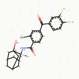 CCc1cc(C(=O)c2ccc(F)c(F)c2)ccc1C(=O)N[C@H]1C2CC3CC(C2)CC1(O)C3